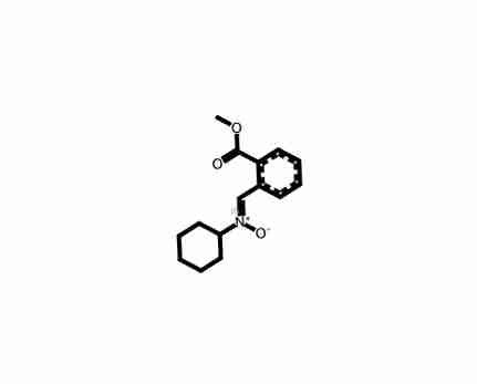 COC(=O)c1ccccc1/C=[N+](\[O-])C1CCCCC1